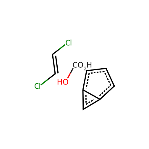 ClC=CCl.O=C(O)O.c1cc2cc-2c1